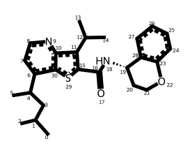 CC(C)CC(C)c1ccnc2c(C(C)C)c(C(=O)N[C@H]3CCOc4ccccc43)sc12